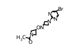 CC(=O)N1CC(ON=C2CN(c3ncc(Br)cn3)C2)C1